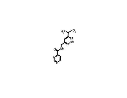 CCC(=CC(CNC(=O)c1ccncn1)=NO)C(C)[N+](=O)[O-]